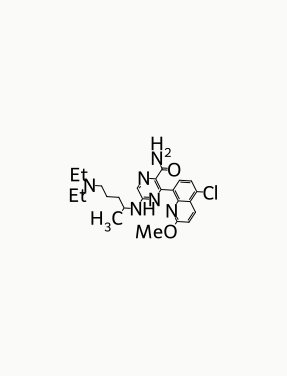 CCN(CC)CCCC(C)Nc1cnc(C(N)=O)c(-c2ccc(Cl)c3ccc(OC)nc23)n1